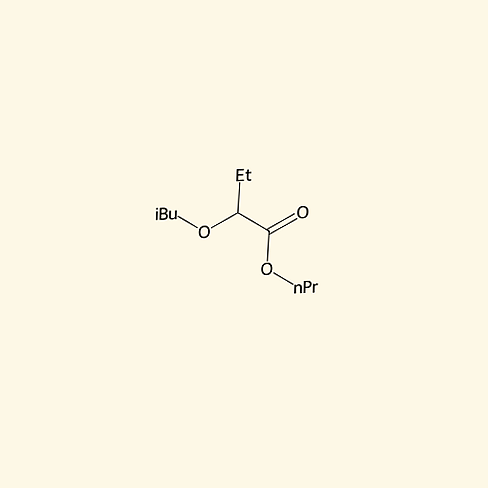 CCCOC(=O)C(CC)OC(C)CC